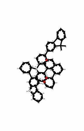 CC1(C)c2ccccc2-c2ccc(-c3ccc(N(c4ccccc4-c4ccc5c(c4)oc4ccccc45)c4ccccc4-c4cccc5cccc(-c6ccccc6)c45)cc3)cc21